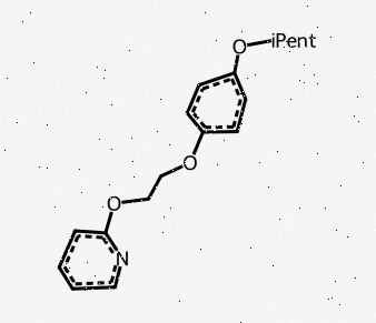 CCCC(C)Oc1ccc(OCCOc2ccccn2)cc1